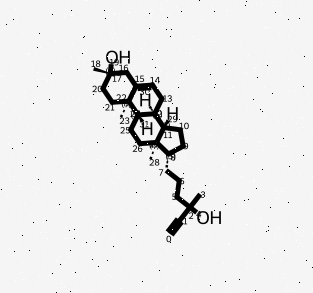 C#CC(C)(O)CCC[C@H]1CC[C@H]2[C@@H]3CC=C4C[C@@](C)(O)CC[C@]4(C)[C@H]3CC[C@]12C